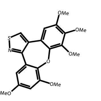 COc1cc(OC)c2c(c1)-c1nscc1-c1cc(OC)c(OC)c(OC)c1O2